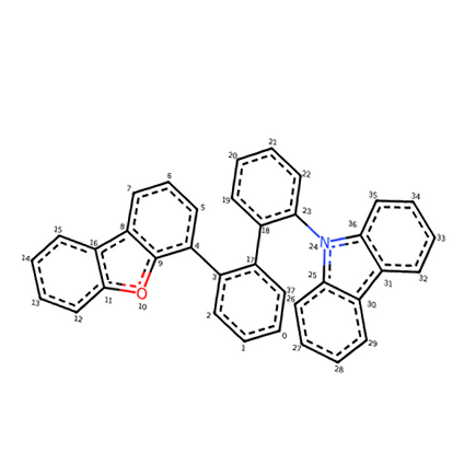 c1ccc(-c2cccc3c2oc2ccccc23)c(-c2ccccc2-n2c3ccccc3c3ccccc32)c1